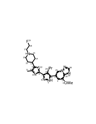 COc1cc(-c2[nH]nc(-c3nc(C)c(C4CCN(CCF)CC4)s3)c2C(C)C)cn2ncnc12